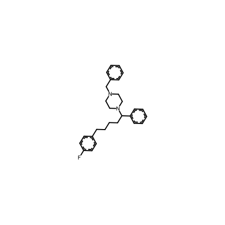 Fc1ccc(CCCCC(c2ccccc2)N2CCN(Cc3ccccc3)CC2)cc1